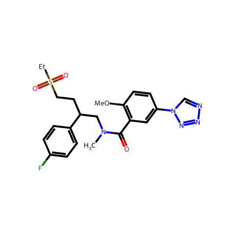 CCS(=O)(=O)CCC(CN(C)C(=O)c1cc(-n2cnnn2)ccc1OC)c1ccc(F)cc1